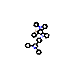 c1ccc(-c2cc(-c3ccc(-n4c5ccccc5c5c6c7ccccc7n(-c7ccccc7)c6c6sc7ccccc7c6c54)cc3)cc(-c3ccccc3)n2)cc1